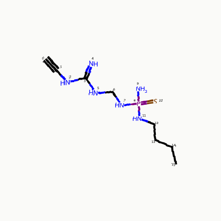 C#CNC(=N)NCNP(N)(=S)NCCCC